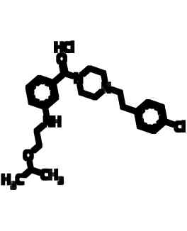 CC(C)OCCNc1cccc(C(=O)N2CCN(CCc3ccc(Cl)cc3)CC2)c1.Cl